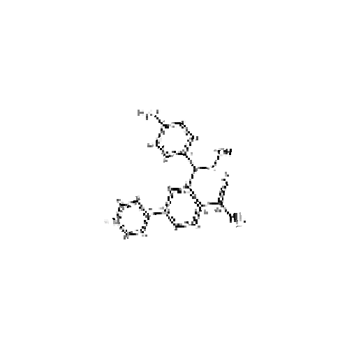 Cc1ccc(C(CO)c2cc(-c3ccncc3)ccc2C(N)=O)cc1